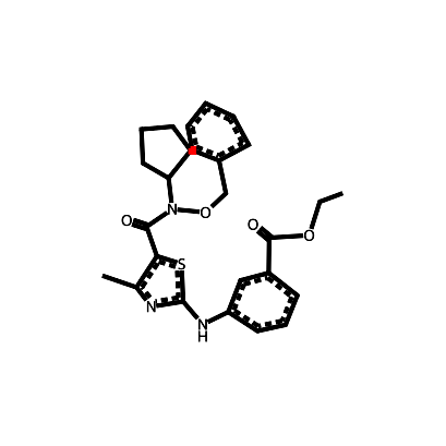 CCOC(=O)c1cccc(Nc2nc(C)c(C(=O)N(OCc3ccccc3)C3CCCC3)s2)c1